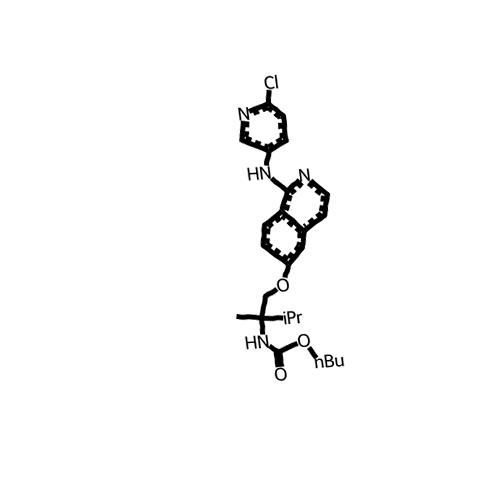 CCCCOC(=O)NC(C)(COc1ccc2c(Nc3ccc(Cl)nc3)nccc2c1)C(C)C